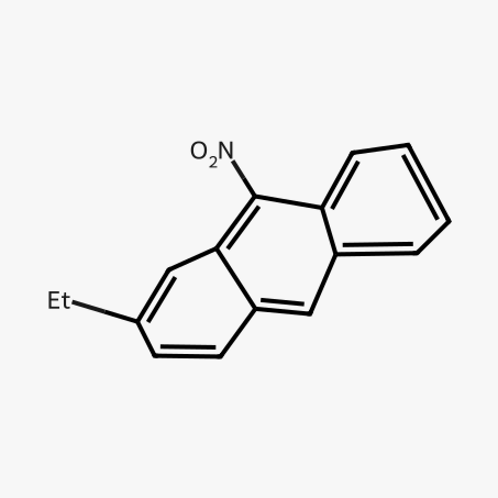 CCc1ccc2cc3ccccc3c([N+](=O)[O-])c2c1